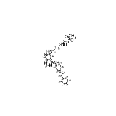 CS(=O)(=O)CCNCCCCNc1cc2c(Nc3ccc(OCc4ccccc4)cc3)ncnc2cn1